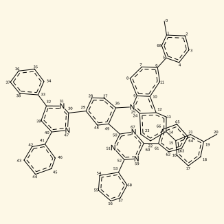 Cc1cccc(-c2ccc3c(c2)c2cc(-c4cccc(C)c4)ccc2n3-c2ccc(-c3nc(-c4ccccc4)cc(-c4ccccc4)n3)cc2-c2nc(-c3ccccc3)nc(-c3ccccc3)n2)c1